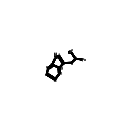 FC(Cl)[CH]c1c[nH]c2ccccc12